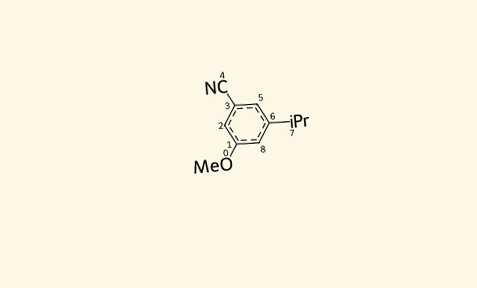 COc1cc(C#N)cc(C(C)C)c1